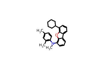 Cc1ccc(N(C)c2cccc3c2oc2c(C4CCCCC4)cccc23)c(C)c1